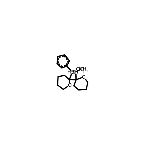 C[SiH2]C1(C2([SiH](C)c3ccccc3)CCCCO2)CCCCO1